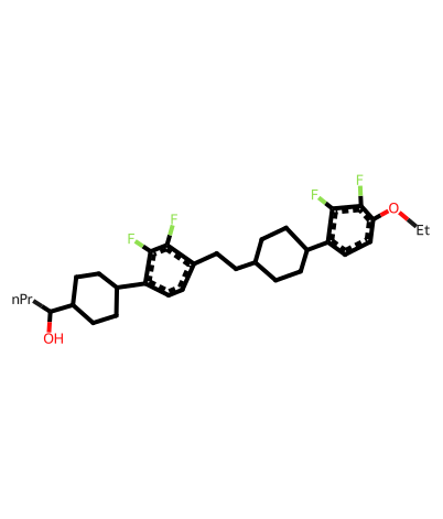 CCCC(O)C1CCC(c2ccc(CCC3CCC(c4ccc(OCC)c(F)c4F)CC3)c(F)c2F)CC1